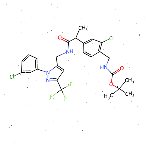 CC(C(=O)NCc1cc(C(F)(F)F)nn1-c1cccc(Cl)c1)c1ccc(CNC(=O)OC(C)(C)C)c(Cl)c1